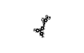 COC(=O)c1ccc(OCCCN2CCC(C(c3ccc(F)cc3)c3ccc(F)cc3)CC2)c(OC)c1